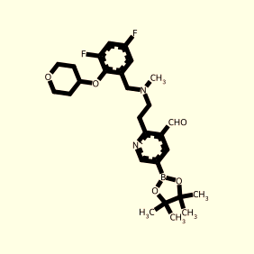 CN(CCc1ncc(B2OC(C)(C)C(C)(C)O2)cc1C=O)Cc1cc(F)cc(F)c1OC1CCOCC1